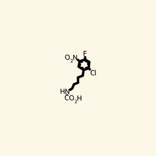 O=C(O)NCCCCCc1cc([N+](=O)[O-])c(F)cc1Cl